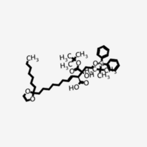 CCCCCCCC1(CCCCCC/C=C/[C@H](C(=O)O)[C@@](O)(CCO[Si](c2ccccc2)(c2ccccc2)C(C)(C)C)C(=O)OC(C)(C)C)OCCO1